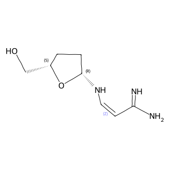 N=C(N)/C=C\N[C@H]1CC[C@@H](CO)O1